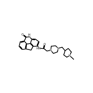 CN1CCC(CN2CCN(CC(=O)Nc3ccc4[nH]c(=O)c5cccc6c5c4c3C6)CC2)CC1